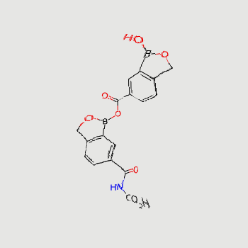 O=C(O)NC(=O)c1ccc2c(c1)B(OC(=O)c1ccc3c(c1)B(O)OC3)OC2